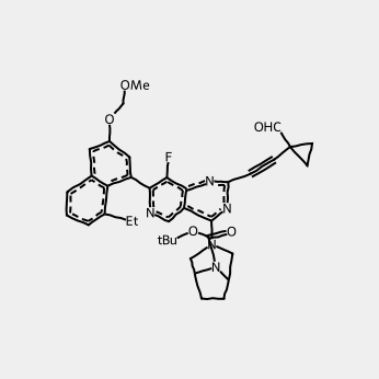 CCc1cccc2cc(OCOC)cc(-c3ncc4c(N5CC6CCC(C5)N6C(=O)OC(C)(C)C)nc(C#CC5(C=O)CC5)nc4c3F)c12